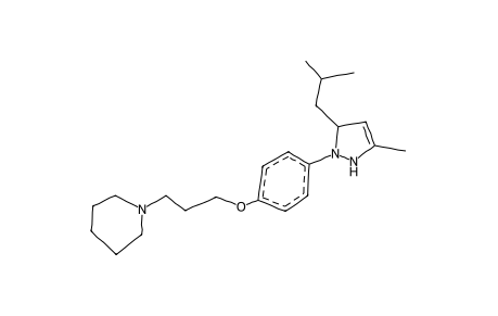 CC1=CC(CC(C)C)N(c2ccc(OCCCN3CCCCC3)cc2)N1